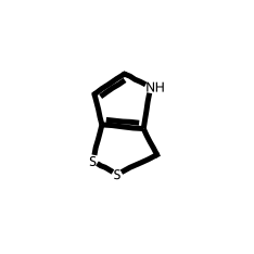 c1cc2c([nH]1)CSS2